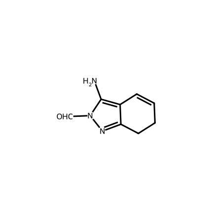 Nc1c2c(nn1C=O)CCC=C2